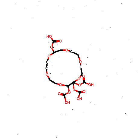 O=C(O)OC1COCCOCCOC(OC(=O)O)(OC(=O)O)C(OC(=O)O)OCCOCCO1